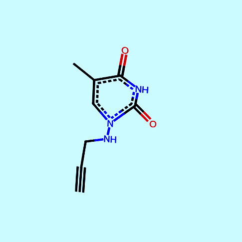 C#CCNn1cc(C)c(=O)[nH]c1=O